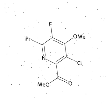 COC(=O)c1nc(C(C)C)c(F)c(OC)c1Cl